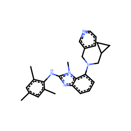 Cc1cc(C)c(Nc2nc3cccc(N(Cc4cccnc4)CC4CC4)c3n2C)c(C)c1